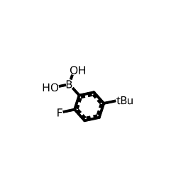 CC(C)(C)c1ccc(F)c(B(O)O)c1